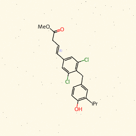 COC(=O)C/C=C/c1cc(Cl)c(Cc2ccc(O)c(C(C)C)c2)c(Cl)c1